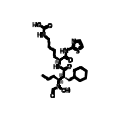 CCC[C@@H]([C@@H](CC1CCCCC1)C(=O)N[C@@H](CCCCNC(=O)O)C(=O)Nc1nccs1)N(O)C=O